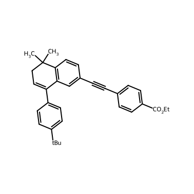 CCOC(=O)c1ccc(C#Cc2ccc3c(c2)C(c2ccc(C(C)(C)C)cc2)=CCC3(C)C)cc1